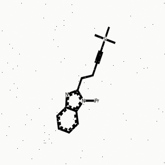 CC(C)n1c(CCC#C[Si](C)(C)C)nc2ccccc21